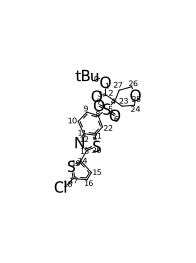 CC(C)(C)OC(=O)C1(S(=O)(=O)c2ccc3nc(-c4ccc(Cl)s4)sc3c2)CCOCC1